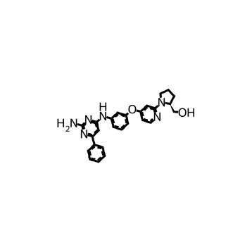 Nc1nc(Nc2cccc(Oc3ccnc(N4CCC[C@H]4CO)c3)c2)cc(-c2ccccc2)n1